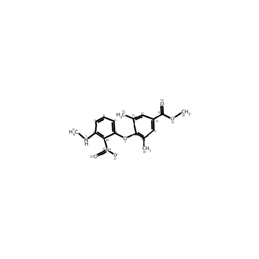 CNc1cccc(Oc2c(C)cc(C(=O)OC)cc2C)c1[N+](=O)[O-]